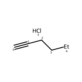 C#CCCCC.Cl